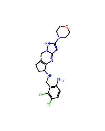 Nc1ccc(Cl)c(Cl)c1CNC1CCC2=C1N=C1N=C(N3CCOCC3)NN1C2